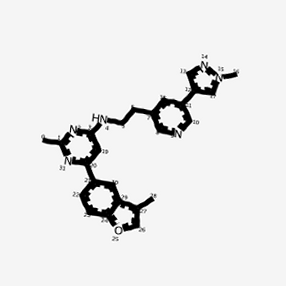 Cc1nc(NCCc2cncc(-c3cnn(C)c3)c2)cc(-c2ccc3occ(C)c3c2)n1